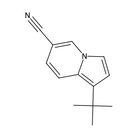 CC(C)(C)c1ccn2cc(C#N)ccc12